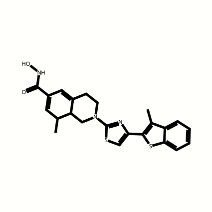 Cc1c(-c2csc(N3CCC4=CC(C(=O)NO)=CC(C)C4C3)n2)sc2ccccc12